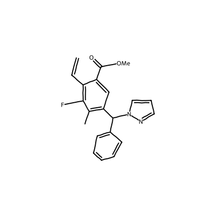 C=Cc1c(C(=O)OC)cc(C(c2ccccc2)n2cccn2)c(C)c1F